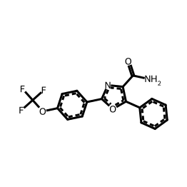 NC(=O)c1nc(-c2ccc(OC(F)(F)F)cc2)oc1-c1ccccc1